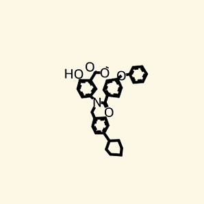 COC(=O)c1cc(N(Cc2ccc(C3CCCCC3)cc2)C(=O)c2ccc(Oc3ccccc3)cc2)ccc1O